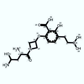 NC(O)C[C@H](N)C(=O)N1CC(Oc2ccc(CCB(O)O)c(O)c2C(=O)O)C1